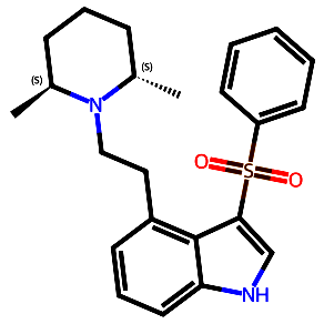 C[C@H]1CCC[C@H](C)N1CCc1cccc2[nH]cc(S(=O)(=O)c3ccccc3)c12